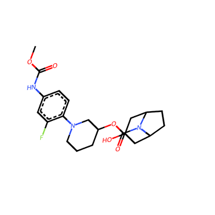 COC(=O)Nc1ccc(N2CCCC(OC(=O)N3C4CCC3CC(O)C4)C2)c(F)c1